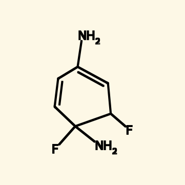 NC1=CC(F)C(N)(F)C=C1